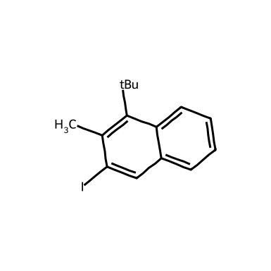 Cc1c(I)cc2ccccc2c1C(C)(C)C